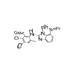 CCCN(CCC)c1cccc2nc(Nc3c(C)cc(Cl)c(Cl)c3OC)n(C)c12